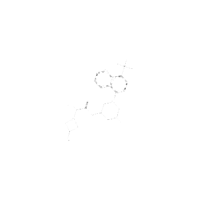 CC1CC(NC(=O)C(C)N2CC(O)C2)CN(c2ccc(C(F)(F)F)c3ncccc23)C1